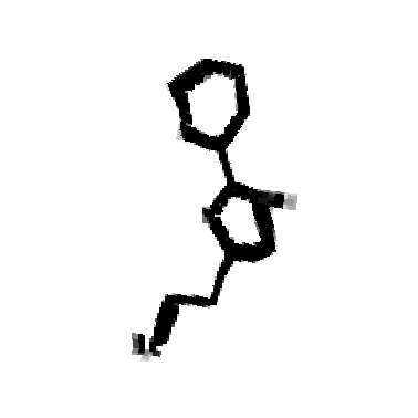 C=CCc1c[nH]c(-c2ccccn2)n1